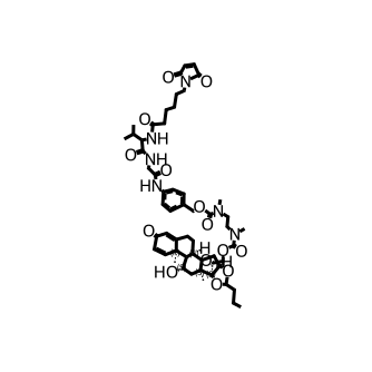 CCCC1O[C@@H]2CC3[C@@H]4CCC5=CC(=O)C=C[C@]5(C)C4[C@@H](O)C[C@]3(C)[C@]2(C(=O)COC(=O)N(C)CCN(C)C(=O)OCc2ccc(NC(=O)CNC(=O)C(NC(=O)CCCCCN3C(=O)C=CC3=O)C(C)C)cc2)O1